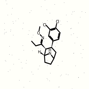 CCC(=NOC)[C@H]1[C@@H](c2ccc(Cl)c(Cl)c2)CC2CC[C@H]1N2